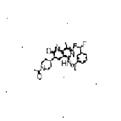 CC(=O)N1CCC(c2cc3c(N[C@H](C)c4cccc(C(F)F)c4)nnc(C)c3n(C)c2=O)CC1